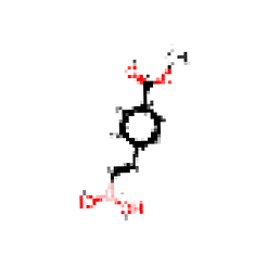 COC(=O)c1ccc(C=CB(O)O)cc1